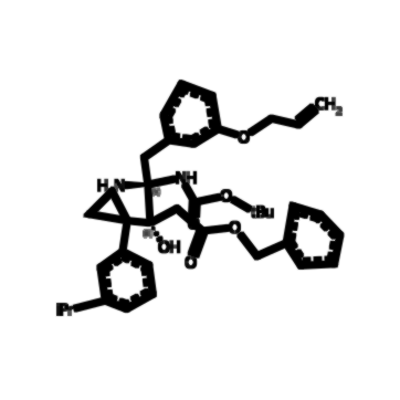 C=CCOc1cccc(C[C@](N)(NC(=O)OC(C)(C)C)[C@@](O)(CC(=O)OCc2ccccc2)C2(c3cccc(C(C)C)c3)CC2)c1